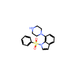 O=S(=O)(c1ccccc1)n1ccc2cccc(N3CCNCC3)c21